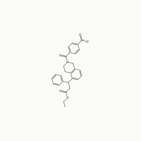 CCOC(=O)CC(c1ccccc1)c1cccc2c1CCN(C(=O)c1ccc([N+](=O)[O-])cc1)C2